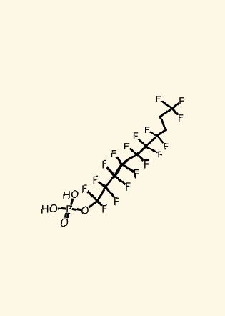 O=P(O)(O)OC(F)(F)C(F)(F)C(F)(F)C(F)(F)C(F)(F)C(F)(F)C(F)(F)CCC(F)(F)F